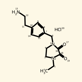 CCN1CCN(Cc2ccc(CCN)cc2)C(=O)C1=O.Cl